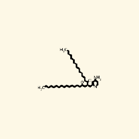 CCCCCCCCCCCCCCCC(=O)CC(Cc1cc(N)ccn1)C(=O)CCCCCCCCCCCCCCC